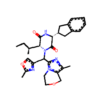 CC[C@H](C)[C@@H]1C(=O)N[C@H](C2Cc3ccccc3C2)C(=O)N1C(c1coc(C)n1)c1nc(C)c2n1CCOC2